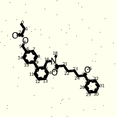 CCC(=O)OCc1ccc(-c2ccccc2CN(C)C(=O)CCCCC(=O)c2ccccc2)cc1